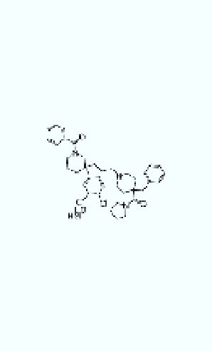 Cl.O.O=C(c1ccccc1)N1CCCC(CCCN2CCC(Cc3ccccc3)(C(=O)N3CCCC3)CC2)(c2ccc(Cl)c(Cl)c2)C1